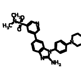 CN(C)S(=O)(=O)c1cncc(-c2ccc3nc(N)n(-c4ccc(N5CCOCC5)cc4)c3c2)c1